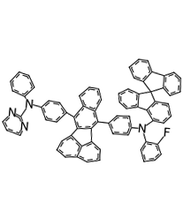 Fc1ccccc1N(c1ccc(-c2c3c(c(-c4ccc(N(c5ccccc5)c5ncccn5)cc4)c4ccccc24)-c2cccc4cccc-3c24)cc1)c1cccc2c1-c1ccccc1C21c2ccccc2-c2ccccc21